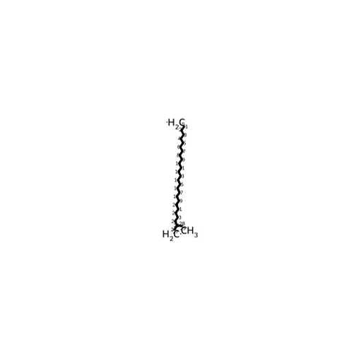 [CH2]CCCCCCCCCCCCCCCCCCCCCCCCC(C[CH2])CC